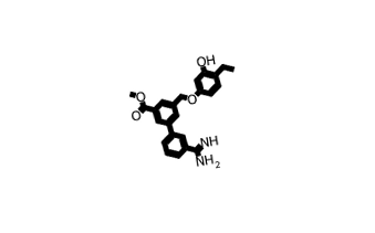 CCc1ccc(OCc2cc(C(=O)OC)cc(-c3cccc(C(=N)N)c3)c2)cc1O